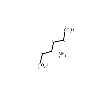 O=C(O)CCCCC(=O)O.[AlH3]